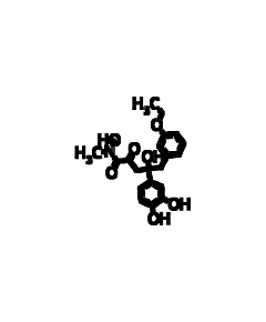 CCOc1cccc(CC(O)(CC(=O)C(=O)N(C)O)c2ccc(O)c(O)c2)c1